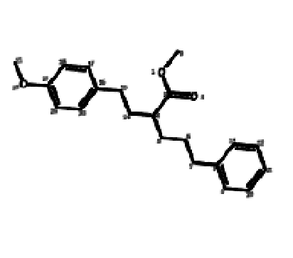 COC(=O)C(CCCc1ccccc1)CCc1ccc(OC)cc1